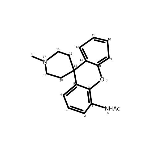 CC(=O)Nc1cccc2c1Oc1ccccc1C21CCN(C)CC1